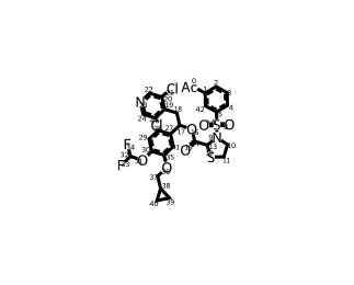 CC(=O)c1cccc(S(=O)(=O)N2CCSC2C(=O)OC(Cc2c(Cl)cncc2Cl)c2ccc(OC(F)F)c(OCC3CC3)c2)c1